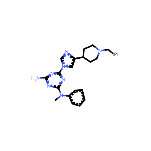 C[C](C)CN1CCC(c2cn(-c3nc(N)nc(N(C)c4ccccc4)n3)cn2)CC1